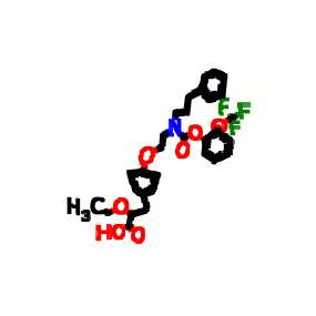 CCOC(Cc1ccc(OCCN(CCCc2ccccc2)C(=O)Oc2ccccc2OC(F)(F)F)cc1)C(=O)O